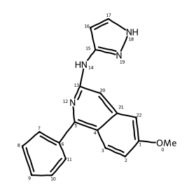 COc1ccc2c(-c3ccccc3)nc(Nc3cc[nH]n3)cc2c1